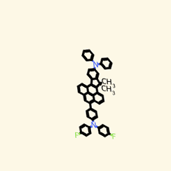 CC1(C)c2cc(N(c3ccccc3)c3ccccc3)ccc2-c2c1c1cccc3c(-c4ccc(N(c5ccc(F)cc5)c5ccc(F)cc5)cc4)cc4cccc2c4c31